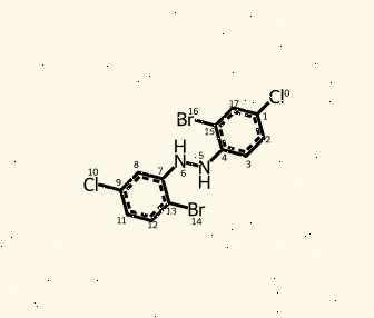 Clc1ccc(NNc2cc(Cl)ccc2Br)c(Br)c1